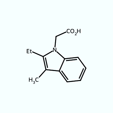 CCc1c(C)c2ccccc2n1CC(=O)O